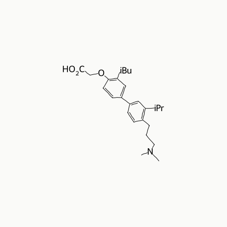 CCC(C)c1cc(-c2ccc(CCCN(C)C)c(C(C)C)c2)ccc1OCC(=O)O